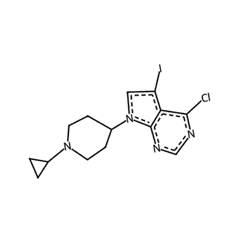 Clc1ncnc2c1c(I)cn2C1CCN(C2CC2)CC1